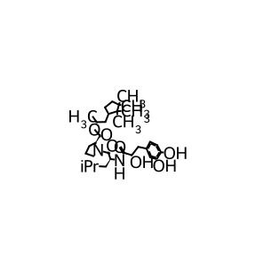 CC(C)C[C@H](NC(=O)[C@H](O)Cc1ccc(O)c(O)c1)C(=O)N1CCC[C@H]1C(=O)OC(C)CC1CCC(C)(C)C1(C)C